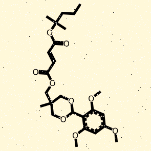 CCCC(C)(C)OC(=O)/C=C/C(=O)OCC1(C)COC(c2c(OC)cc(OC)cc2OC)OC1